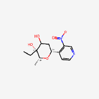 CC[C@@]1(O)C(O)C[C@H](c2ccncc2[N+](=O)[O-])O[C@@H]1C